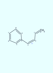 C=C/[C]=C\c1ccccc1